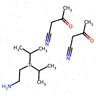 CC(=O)CC#N.CC(=O)CC#N.C[CH](C)[Ti]([CH2]CN)[CH](C)C